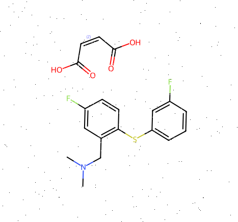 CN(C)Cc1cc(F)ccc1Sc1cccc(F)c1.O=C(O)/C=C\C(=O)O